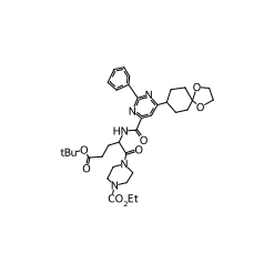 CCOC(=O)N1CCN(C(=O)C(CCC(=O)OC(C)(C)C)NC(=O)c2cc(C3CCC4(CC3)OCCO4)nc(-c3ccccc3)n2)CC1